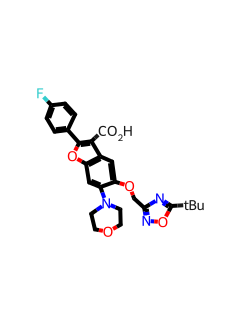 CC(C)(C)c1nc(COc2cc3c(C(=O)O)c(-c4ccc(F)cc4)oc3cc2N2CCOCC2)no1